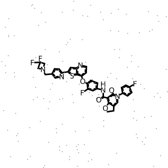 O=C(Nc1ccc(Oc2ccnc3cc(-c4ccc(CN5CC(F)(F)C5)cn4)sc23)c(F)c1)c1c2c(cn(-c3ccc(F)cc3)c1=O)CCO2